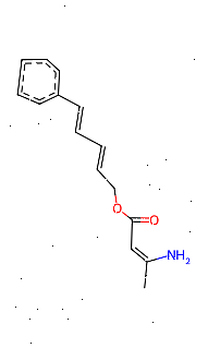 C/C(N)=C/C(=O)OC/C=C/C=C/c1ccccc1